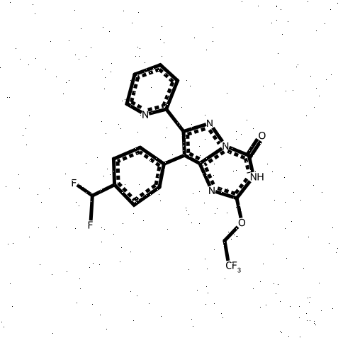 O=c1[nH]c(OCC(F)(F)F)nc2c(-c3ccc(C(F)F)cc3)c(-c3ccccn3)nn12